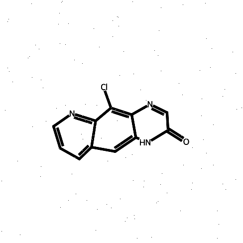 O=c1cnc2c(Cl)c3ncccc3cc2[nH]1